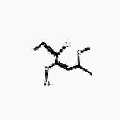 C/C=C(Cl)\C(=C/C(C)SI)OCCC